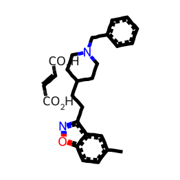 Cc1ccc2onc(CCC3CCN(Cc4ccccc4)CC3)c2c1.O=C(O)C=CC(=O)O